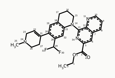 CCOC(=O)c1cc2cccnc2c(N2CCCc3cc(C4=CCN(C)CC4)c(C(F)F)cc32)n1